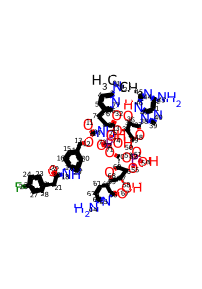 CN(C)c1ccc(CC(NC(=O)OCc2ccc(NC(=O)Cc3ccc(F)cc3)cc2)C(=O)O[C@H]2[C@@H](O)[C@H](n3cnc4c(N)ncnc43)O[C@@H]2COP(=O)(O)O[C@H]2[C@@H](O)[C@H](C3C=CC(N)=NC3=O)O[C@@H]2COP(=O)(O)O)cn1